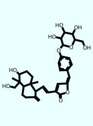 C=C1CCC2C(C)(CO)C(O)CCC2(C)C1/C=C/C1=CC(=C\c2ccc(OC3OC(CO)C(O)C(O)C3O)cc2)/OC1=O